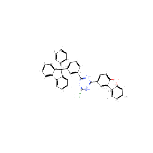 Clc1nc(-c2cccc(C3(c4ccccc4)c4ccccc4-c4ccccc43)c2)nc(-c2ccc3oc4ccccc4c3c2)n1